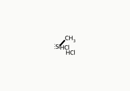 C[Si].Cl.Cl